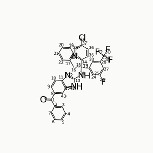 O=C(c1ccccc1)c1ccc2nc(N[C@](Cc3ccccc3)(c3cc(F)cc(C(F)(F)F)c3)c3ccc(Cl)cn3)[nH]c2c1